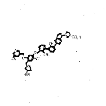 Cc1c(COc2cc(OCc3cncc(C#N)c3)c(CN3CCC(O)C3)cc2Cl)cccc1-c1cccc(-c2ccc3c(c2)CCC3N2CC[C@@H](C(=O)O)C2)c1C